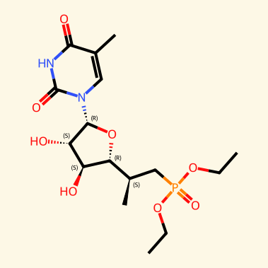 CCOP(=O)(C[C@@H](C)[C@H]1O[C@@H](n2cc(C)c(=O)[nH]c2=O)[C@@H](O)[C@@H]1O)OCC